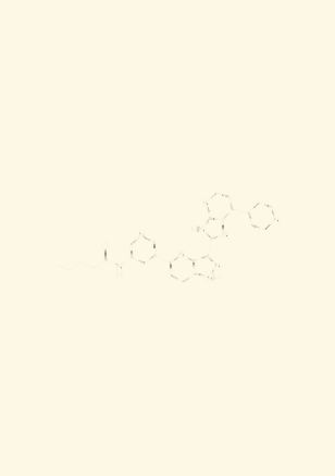 CCCCC(=O)Nc1cncc(-c2ccc3[nH]nc(-c4nc5c(-c6ccncc6)ccnc5[nH]4)c3n2)c1